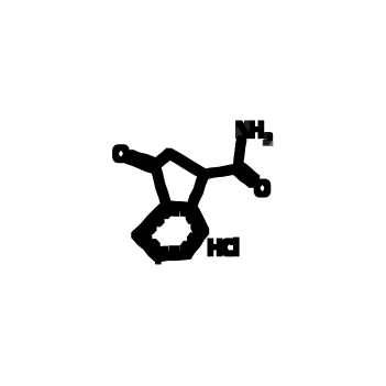 Cl.NC(=O)C1CC(=O)c2c[c]ccc21